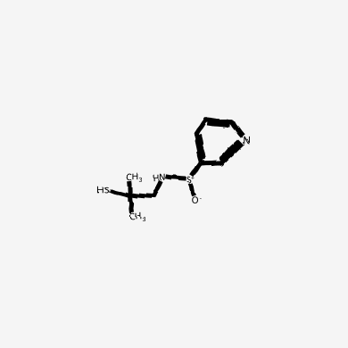 CC(C)(S)CN[S+]([O-])c1cccnc1